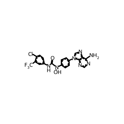 Nc1ncnc2c1ncn2-c1ccc(N(O)C(=O)Nc2ccc(Cl)c(C(F)(F)F)c2)cc1